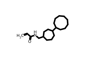 C=CC(=O)NCC1CCCC(C2CCCCCCCC2)CC1